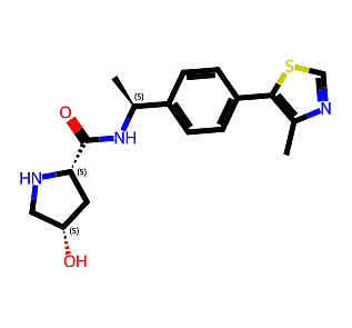 Cc1ncsc1-c1ccc([C@H](C)NC(=O)[C@@H]2C[C@H](O)CN2)cc1